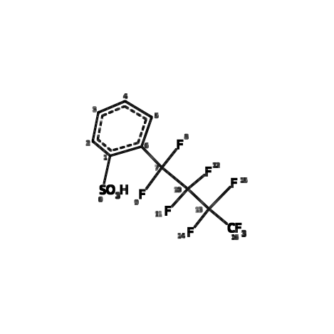 O=S(=O)(O)c1ccccc1C(F)(F)C(F)(F)C(F)(F)C(F)(F)F